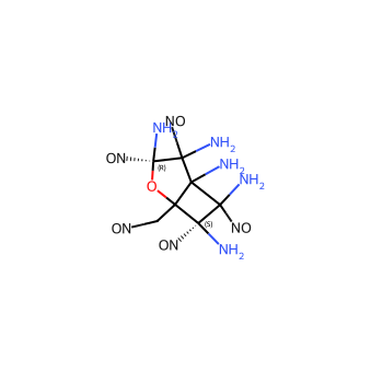 NC12C(N)(N=O)[C@](N)(N=O)C1(CN=O)O[C@](N)(N=O)C2(N)N=O